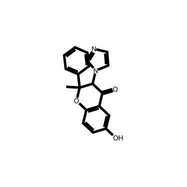 CC1(c2ccccc2)Oc2ccc(O)cc2C(=O)C1n1ccnc1